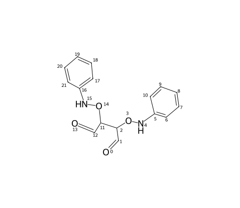 O=CC(ONc1ccccc1)C(C=O)ONc1ccccc1